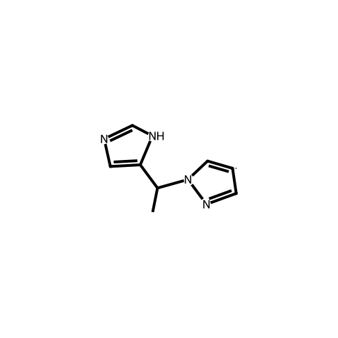 CC(c1cnc[nH]1)n1c[c]cn1